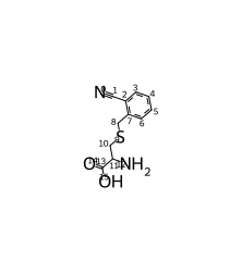 N#Cc1ccccc1CSCC(N)C(=O)O